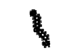 c1csc(-c2ccc3cc4cc5c(cc4cc3c2)oc2cc3cc4cc(-c6nccs6)ccc4cc3cc25)n1